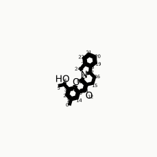 Cc1cc(C(C)O)c2oc3c(c(=O)c2c1)CCC1c2ccccc2CN31